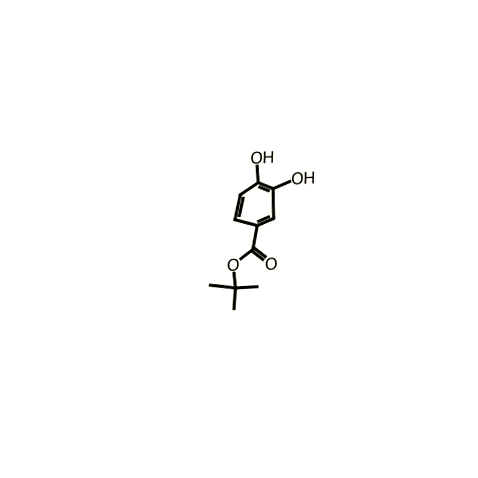 CC(C)(C)OC(=O)c1ccc(O)c(O)c1